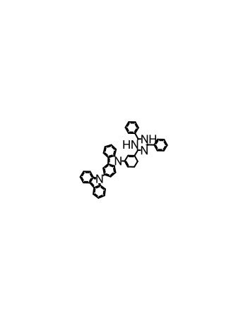 C1=C(C2N=C(c3ccccc3)NC(c3ccccc3)N2)CCC=C1n1c2ccccc2c2cc(-n3c4ccccc4c4ccccc43)ccc21